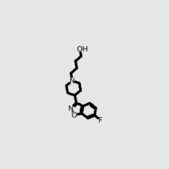 OCCCCN1CCC(c2noc3cc(F)ccc23)CC1